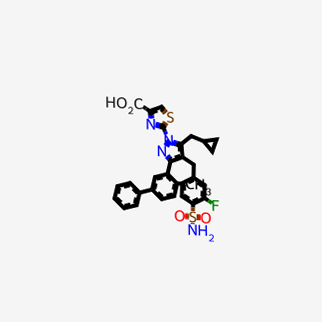 Cc1ccc(-c2ccccc2)cc1-c1nn(-c2nc(C(=O)O)cs2)c(CC2CC2)c1Cc1ccc(S(N)(=O)=O)c(F)c1